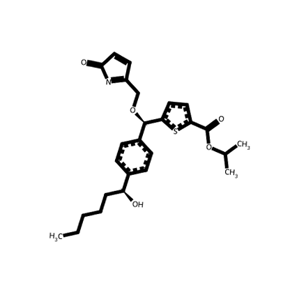 CCCCC[C@H](O)c1ccc([C@@H](OCC2=NC(=O)C=C2)c2ccc(C(=O)OC(C)C)s2)cc1